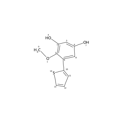 COc1c(O)cc(O)cc1-c1cccs1